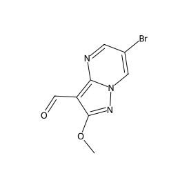 COc1nn2cc(Br)cnc2c1C=O